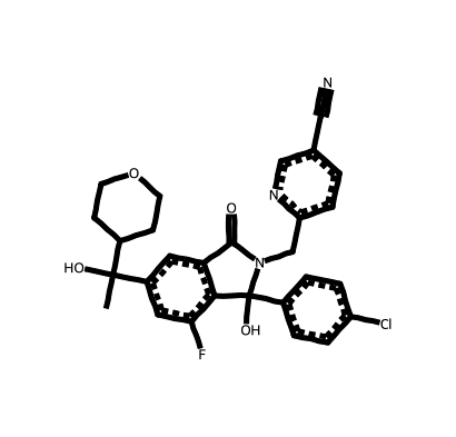 CC(O)(c1cc(F)c2c(c1)C(=O)N(Cc1ccc(C#N)cn1)C2(O)c1ccc(Cl)cc1)C1CCOCC1